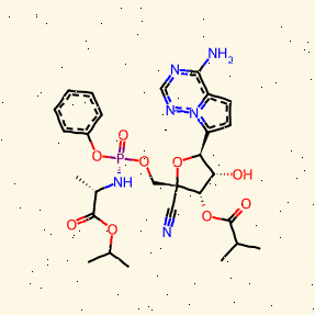 CC(C)OC(=O)[C@H](C)N[P@](=O)(OC[C@@]1(C#N)O[C@@H](c2ccc3c(N)ncnn23)[C@H](O)[C@@H]1OC(=O)C(C)C)Oc1ccccc1